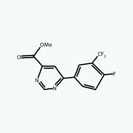 COC(=O)c1cc(-c2ccc(F)c(C(F)(F)F)c2)ncn1